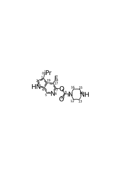 CC(C)c1c[nH]c2cnc(OC(=O)N3CCNCC3)c(F)c12